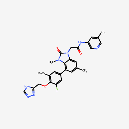 COc1cc(-c2cc(C(F)(F)F)cc3c2n(C)c(=O)n3CC(=O)Nc2cncc(C(F)(F)F)c2)cc(F)c1OCc1nnc[nH]1